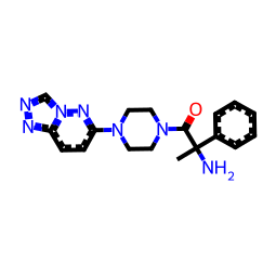 CC(N)(C(=O)N1CCN(c2ccc3nncn3n2)CC1)c1ccccc1